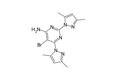 Cc1cc(C)n(-c2nc(N)c(Br)c(-n3nc(C)cc3C)n2)n1